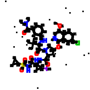 COc1cnc(O[C@@H]2C[C@@H](C(=O)N[C@]3(C(=O)NS(=O)(=O)C4CC4)C[C@H]3I)N(C(=O)[C@H](Nc3cccc(C(=O)N(C)C)c3)C(C)(C)C)C2)c2cc(Cl)ccc12